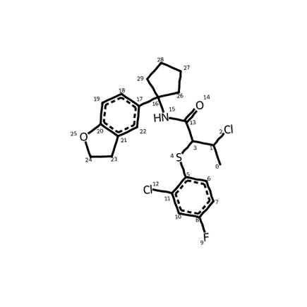 CC(Cl)C(Sc1ccc(F)cc1Cl)C(=O)NC1(c2ccc3c(c2)CCO3)CCCC1